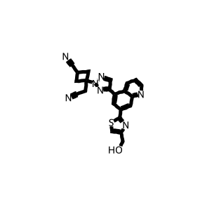 N#CCC1(n2ncc(-c3cc(-c4nc(CO)cs4)cc4ncccc34)n2)CC(C#N)C1